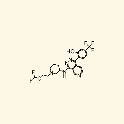 Oc1cc(C(F)(F)F)ccc1-c1nnc(N[C@@H]2CCCN(CCOC(F)F)C2)c2cnccc12